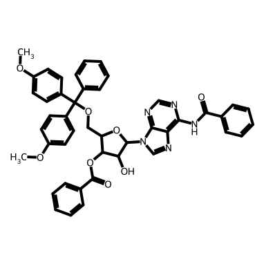 COc1ccc(C(OCC2OC(n3cnc4c(NC(=O)c5ccccc5)ncnc43)C(O)C2OC(=O)c2ccccc2)(c2ccccc2)c2ccc(OC)cc2)cc1